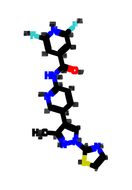 Cc1nn(-c2nccs2)cc1-c1ccc(NC(=O)c2cc(F)nc(F)c2)nc1